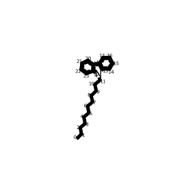 CCCCCCCCCCCCn1c2c[c]ccc2c2cc[c]cc21